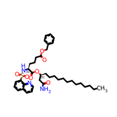 CCCCCCCCCCCCC[C@@H](CC(N)=O)OC(=O)[C@H](CCCC(=O)OCc1ccccc1)NS(=O)(=O)c1cccc2cccnc12